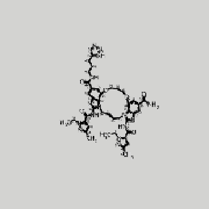 CCn1nc(C)cc1C(=O)Nc1nc2cc(C(N)=O)cc3c2n1C/C=C/Cn1c(NC(=O)c2cc(C)nn2CC)nc2cc(C(=O)NCCCc4nnn[nH]4)cc(c21)OCCCO3